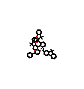 CC1(C)c2ccccc2-c2ccc(N(c3ccc(-c4ccccc4)cc3)c3cccc(-c4cccc5c4C(C)(C)c4ccccc4-5)c3-c3cccc4c3-c3ccccc3C4(C)C)cc21